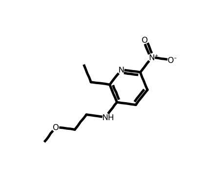 CCc1nc([N+](=O)[O-])ccc1NCCOC